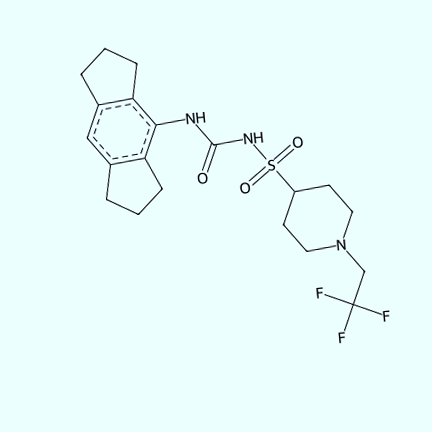 O=C(Nc1c2c(cc3c1CCC3)CCC2)NS(=O)(=O)C1CCN(CC(F)(F)F)CC1